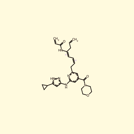 C=CC/C(=C\C=C/Cc1cc(C(=O)N2CCOCC2)cc(Nc2cc(C3CC3)[nH]n2)n1)NC(=O)C=C